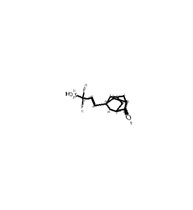 O=C1C2CC3CC1CC(CCC(F)(F)S(=O)(=O)O)(C3)C2